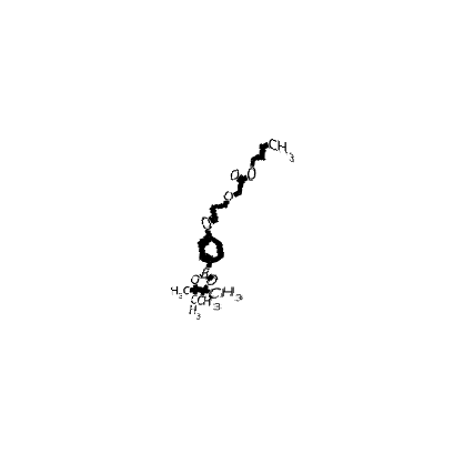 CCCCOC(=O)COCCCOc1ccc(B2OC(C)(C)C(C)(C)O2)cc1